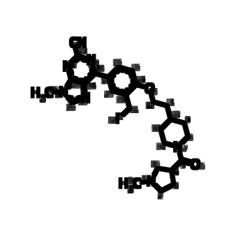 CN1CCC(C(=O)N2CCC(CCOc3ccc(-c4nc(C#N)nc5c4ncn5C)cc3CF)CC2)C1